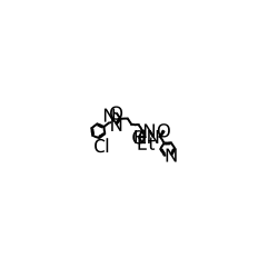 CCOC(CCCc1nc(-c2cccc(Cl)c2)no1)=NNC(=O)c1ccncc1